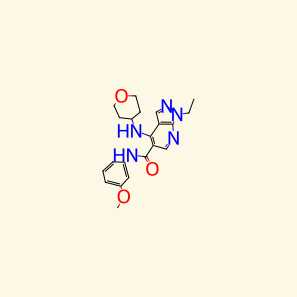 CCn1ncc2c(NC3CCOCC3)c(C(=O)Nc3cccc(OC)c3)cnc21